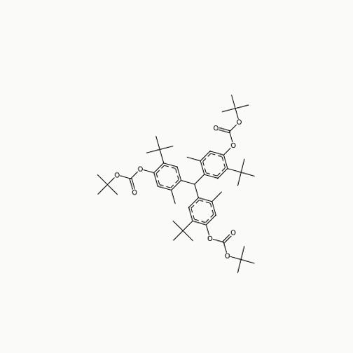 Cc1cc(OC(=O)OC(C)(C)C)c(C(C)(C)C)cc1C(c1cc(C(C)(C)C)c(OC(=O)OC(C)(C)C)cc1C)c1cc(C(C)(C)C)c(OC(=O)OC(C)(C)C)cc1C